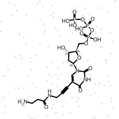 NCCC(=O)NCC#Cc1cn([C@H]2C[C@H](O)[C@@H](COP(=O)(O)OP(=O)(O)OP(=O)(O)O)O2)c(=O)[nH]c1=O